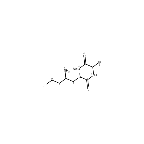 CCC(NC(=O)OCC(N)CCF)C(=O)OC